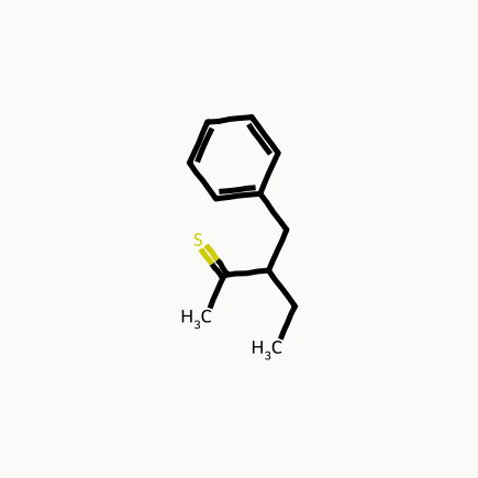 CCC(Cc1ccccc1)C(C)=S